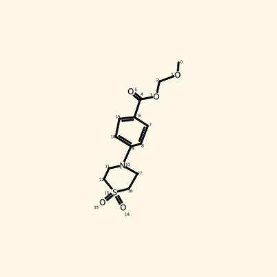 COCOC(=O)c1ccc(N2CCS(=O)(=O)CC2)cc1